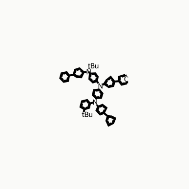 CC(C)(C)c1cccc(N(c2ccc(-c3ccccc3)cc2)c2ccc(N(c3ccc(-c4ccccc4)cc3)c3ccc(N(c4ccc(-c5ccccc5)cc4)C(C)(C)C)cc3)cc2)c1